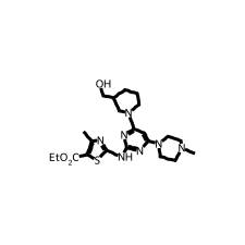 CCOC(=O)c1sc(Nc2nc(N3CCN(C)CC3)cc(N3CCCC(CO)C3)n2)nc1C